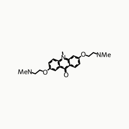 CNCCOc1ccc2c(c1)c(=O)c1ccc(OCCNC)cc1n2C